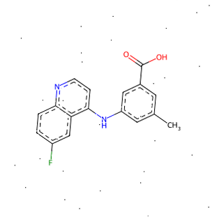 Cc1cc(Nc2ccnc3ccc(F)cc23)cc(C(=O)O)c1